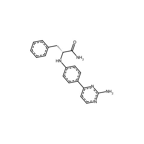 NC(=O)[C@@H](Cc1ccccc1)Nc1ccc(-c2ccnc(N)n2)cc1